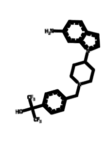 Nc1ccc2ccn(C3CCN(Cc4ccc(C(O)(C(F)(F)F)C(F)(F)F)cc4)CC3)c2c1